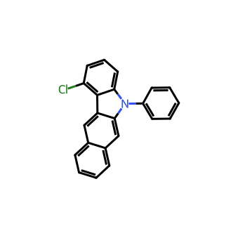 Clc1cccc2c1c1cc3ccccc3cc1n2-c1ccccc1